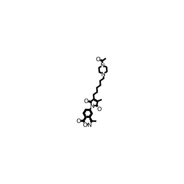 CC(=O)N1CCN(CCCCCCC2=C(C)C(=O)N(c3ccc4c(=O)onc(C)c4c3)C2=O)CC1